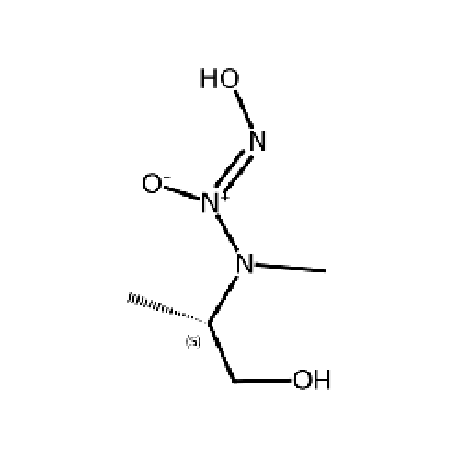 C[C@@H](CO)N(C)[N+]([O-])=NO